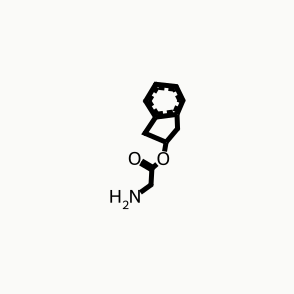 NCC(=O)OC1Cc2ccccc2C1